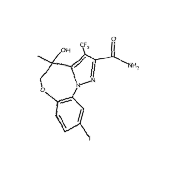 CC1(O)COc2ccc(I)cc2-n2nc(C(N)=O)c(C(F)(F)F)c21